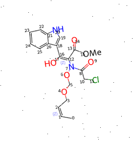 C/C=C\COCON(C(=O)CCl)/C(C(=O)OC)=C(\O)c1c[nH]c2ccccc12